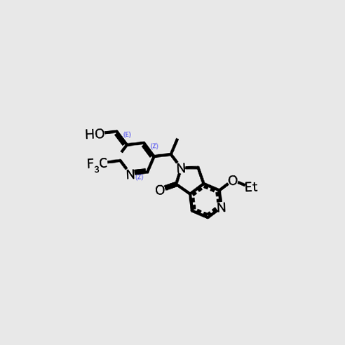 CCOc1nccc2c1CN(C(C)C(/C=N\CC(F)(F)F)=C/C(C)=C/O)C2=O